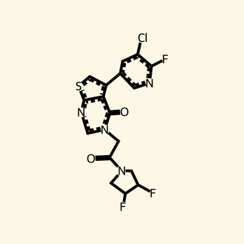 O=C(Cn1cnc2scc(-c3cnc(F)c(Cl)c3)c2c1=O)N1CC(F)C(F)C1